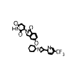 O=C1CC[C@@H](N2Cc3cc(O[C@H]4CCCC[C@H]4N4CC(c5ccc(C(F)(F)F)cn5)C4)ccc3C2=O)C(=O)N1